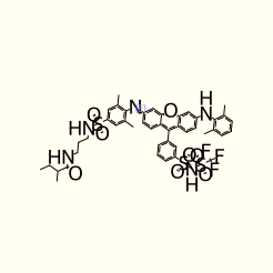 CCC(C)C(=O)NCCCNS(=O)(=O)c1cc(C)c(/N=c2\ccc3c(-c4cccc(S(=O)(=O)NS(=O)(=O)C(F)(F)F)c4)c4ccc(Nc5c(C)cccc5C)cc4oc-3c2)c(C)c1